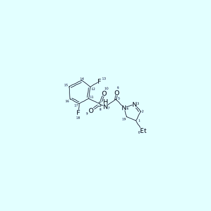 CCC1C=NN(C(=O)NS(=O)(=O)c2c(F)cccc2F)C1